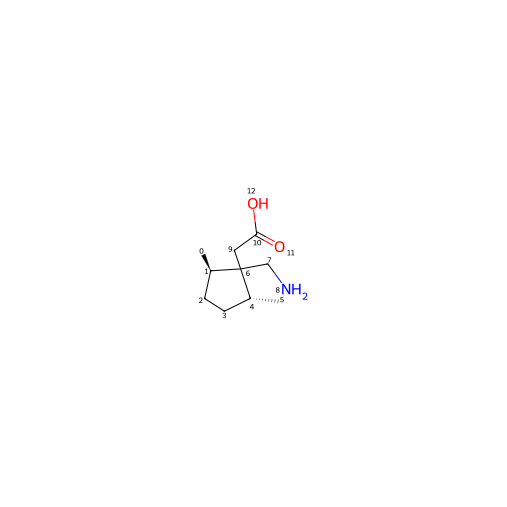 C[C@@H]1CC[C@@H](C)C1(CN)CC(=O)O